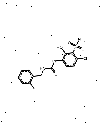 Cc1ccccc1CNC(=O)Nc1ccc(Cl)c(S(N)(=O)=O)c1O